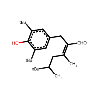 CCCCC(C)CC(C)=C([C]=O)Cc1cc(C(C)(C)C)c(O)c(C(C)(C)C)c1